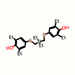 CCc1cc(SC[Si](CC)(CC)CSc2cc(CC)c(O)c(CC)c2)cc(CC)c1O